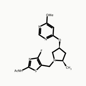 COc1cc(O[C@H]2C[C@@H](C)N(Cc3sc(NC(C)=O)nc3F)C2)ncn1